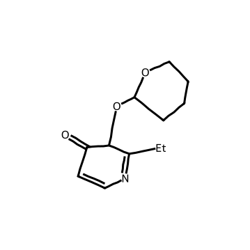 CCC1=NC=CC(=O)C1OC1CCCCO1